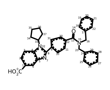 O=C(O)c1ccc2c(c1)nc(-c1ccc(C(=O)N(Cc3ccccc3)Cc3ccccc3)cc1)n2C1CCCC1